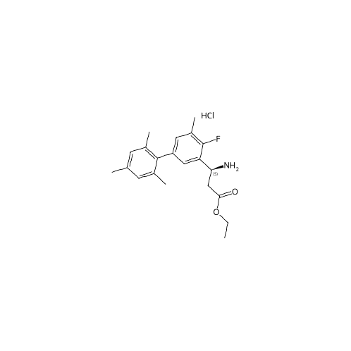 CCOC(=O)C[C@H](N)c1cc(-c2c(C)cc(C)cc2C)cc(C)c1F.Cl